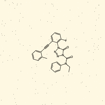 CCN(C(=O)n1nnn(-c2c(F)cccc2C#Cc2ccccc2C)c1=O)c1ccccc1